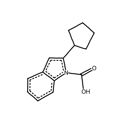 O=C(O)n1c(C2CCCC2)cc2ccccc21